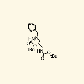 CC(C)(C)OC(=O)NCCCN(Cc1ccccc1)NC(=O)OC(C)(C)C